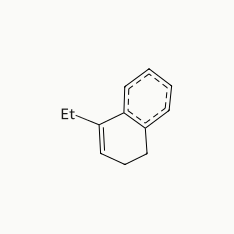 [CH2]CC1=CCCc2ccccc21